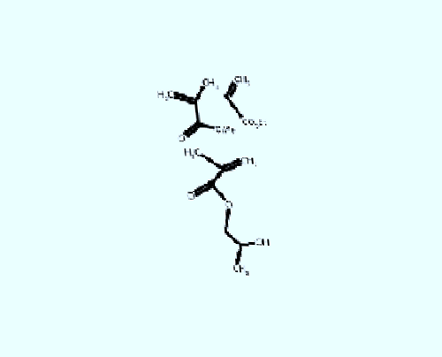 C=C(C)C(=O)OC.C=C(C)C(=O)OCC(C)O.C=CC(=O)OCC